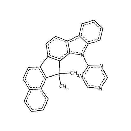 CC1(C)c2c(ccc3ccccc23)-c2ccc3c4ccccc4n(-c4ncncn4)c3c21